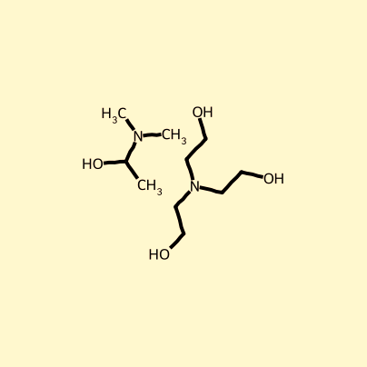 CC(O)N(C)C.OCCN(CCO)CCO